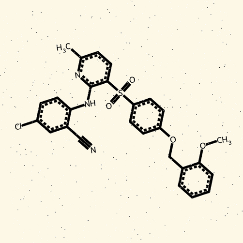 COc1ccccc1COc1ccc(S(=O)(=O)c2ccc(C)nc2Nc2ccc(Cl)cc2C#N)cc1